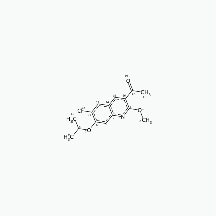 COc1nc2cc(OC(C)C)c(Cl)cc2cc1C(C)=O